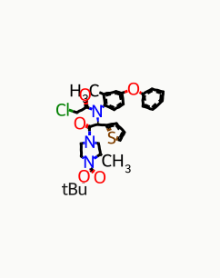 Cc1cc(Oc2ccccc2)ccc1N(C(=O)CCl)[C@H](C(=O)N1CCN(C(=O)OC(C)(C)C)C(C)C1)c1cccs1